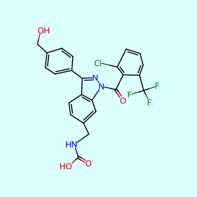 O=C(O)NCc1ccc2c(-c3ccc(CO)cc3)nn(C(=O)c3c(Cl)cccc3C(F)(F)F)c2c1